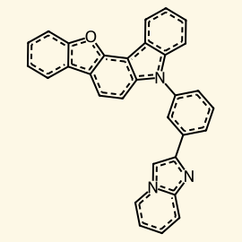 c1cc(-c2cn3ccccc3n2)cc(-n2c3ccccc3c3c4oc5ccccc5c4ccc32)c1